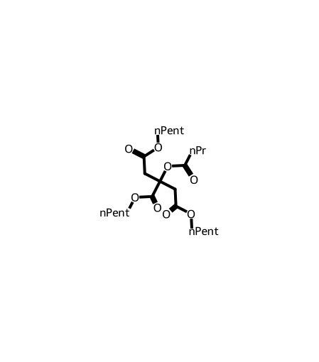 CCCCCOC(=O)CC(CC(=O)OCCCCC)(OC(=O)CCC)C(=O)OCCCCC